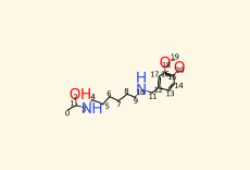 CC(O)NCCCCCCNCc1ccc2c(c1)OCO2